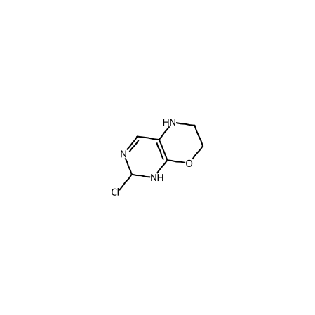 ClC1N=CC2=C(N1)OCCN2